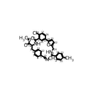 COC(=O)C(Cc1ccc(C#N)cc1)NC(=O)c1cc(-c2ccc(CNC(C)c3ccc(C)cc3)o2)ccc1Cl